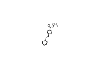 COC(=O)c1ccc(/C=C/c2ccccc2)cc1